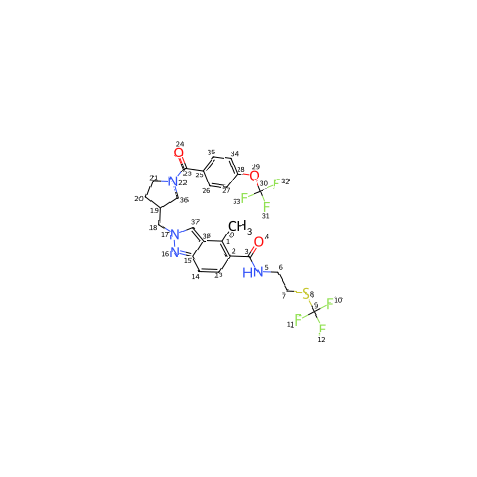 Cc1c(C(=O)NCCSC(F)(F)F)ccc2nn(CC3CCN(C(=O)c4ccc(OC(F)(F)F)cc4)C3)cc12